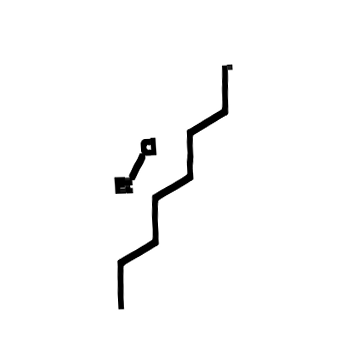 [CH2]CCCCCCC.[CH2]CCl